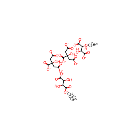 O=C([O-])C(O)C(O)C(=O)[O-].O=C([O-])C(O)C(O)C(=O)[O-].O=C([O-])CC(O)(CC(=O)[O-])C(=O)[O-].O=C([O-])CC(O)(CC(=O)[O-])C(=O)[O-].[Ca+2].[Ca+2].[Ca+2].[Ca+2].[Ca+2]